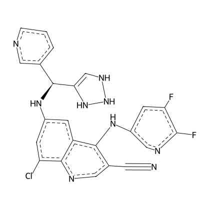 N#Cc1cnc2c(Cl)cc(N[C@H](C3=CNNN3)c3cccnc3)cc2c1Nc1cnc(F)c(F)c1